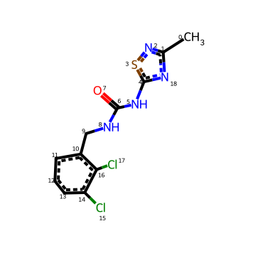 Cc1nsc(NC(=O)NCc2cccc(Cl)c2Cl)n1